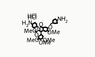 COC(=O)c1c(-c2cc(OC)c(OC)c(OC)c2)c2cc(OC)c(OCc3ccc(N)cc3)cc2c(=O)n1-c1ccc(N)cc1.Cl.Cl